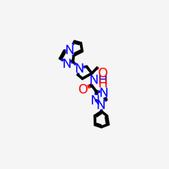 O=C(NC1(CO)CCN(c2nccn3cccc23)C1)c1ncn(-c2ccccc2)n1